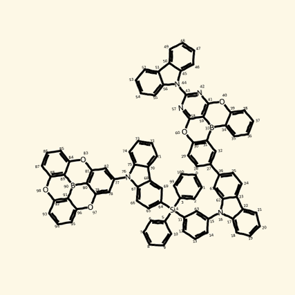 c1ccc([Si](c2ccccc2)(c2cccc(-n3c4ccccc4c4ccc(-c5ccc6c(c5)B5c7ccccc7Oc7nc(-n8c9ccccc9c9ccccc98)nc(c75)O6)cc43)c2)c2ccc3c(c2)c2ccccc2n3-c2cc3c4c(c2)Oc2cccc5c2B4c2c(cccc2O3)O5)cc1